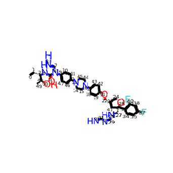 CC[C@H](NC(=O)N(C=N)c1ccc(N2CCN(c3ccc(OC[C@@H]4CO[C@@](CN/C=N\C=N)(c5ccc(F)cc5F)C4)cc3)CC2)cc1)[C@H](C)O